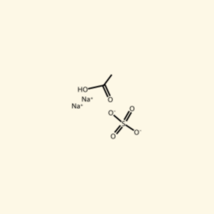 CC(=O)O.O=S(=O)([O-])[O-].[Na+].[Na+]